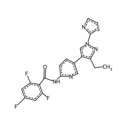 CCc1nn(-c2nccs2)cc1-c1ccc(NC(=O)c2c(F)cc(F)cc2F)nc1